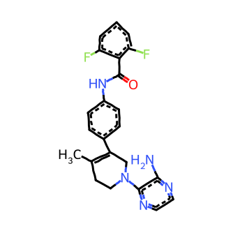 CC1=C(c2ccc(NC(=O)c3c(F)cccc3F)cc2)CN(c2nccnc2N)CC1